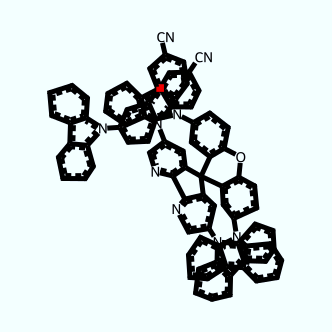 N#Cc1ccc2c(c1)c1ccccc1n2-c1cnc2c(c1)C1(c3cc(-n4c5ccccc5c5ccccc54)ccc3Oc3ccc(-n4c5ccc(C#N)cc5c5cc(-n6c7ccccc7c7ccccc76)ccc54)cc31)c1cc(-n3c4ccccc4c4ccccc43)cnc1-2